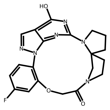 O=C1COc2cc(F)ccc2-n2ncc3c(O)nc(nc32)N2CCCC23CCN1C3